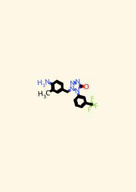 Cc1cc(Cn2nnc(=O)n2-c2cccc(C(F)(F)F)c2)ccc1N